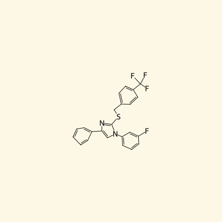 Fc1cccc(-n2cc(-c3ccccc3)nc2SCc2ccc(C(F)(F)F)cc2)c1